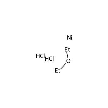 CCOCC.Cl.Cl.[Ni]